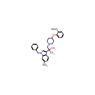 COc1ccccc1OC1CCN(CC(O)(c2cn(Cc3ccccc3)c3cc([N+](=O)[O-])ccc23)C(F)(F)F)CC1